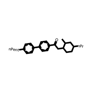 CCCCCc1ccc(-c2ccc(C(=O)CC3CCC(CCC)CC3C)cc2)cc1